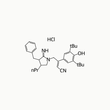 CCCC1CN(C/C(=C/C#N)c2cc(C(C)(C)C)c(O)c(C(C)(C)C)c2)C(=N)C1Cc1ccccc1.Cl